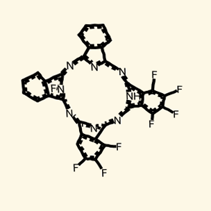 Fc1cc2c(c(F)c1F)-c1nc-2nc2c3ccccc3c(nc3nc(nc4[nH]c(n1)c1c(F)c(F)c(F)c(F)c41)-c1ccccc1-3)n2F